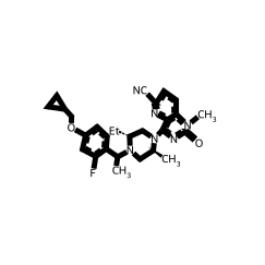 CC[C@@H]1CN(c2nc(=O)n(C)c3ccc(C#N)nc23)[C@@H](C)CN1C(C)c1ccc(OCC2CC2)cc1F